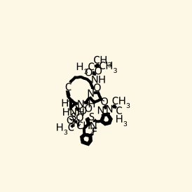 CC(C)n1c(O[C@@H]2C[C@H]3C(=O)N[C@]4(C(=O)NS(=O)(=O)N(C)C)C[C@H]4/C=C\CCCCC[C@H](NC(=O)OC(C)(C)C)C(=O)N3C2)nc2c(-c3nc(Cc4ccccc4F)cs3)cccc21